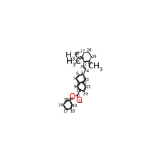 CC1=C(/C=C/c2ccc3cc(C(=O)Oc4ccccc4)ccc3c2)C(C)(C)CCC1